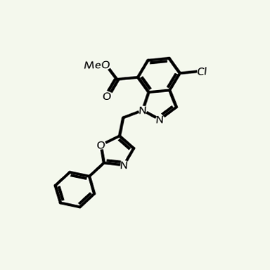 COC(=O)c1ccc(Cl)c2cnn(Cc3cnc(-c4ccccc4)o3)c12